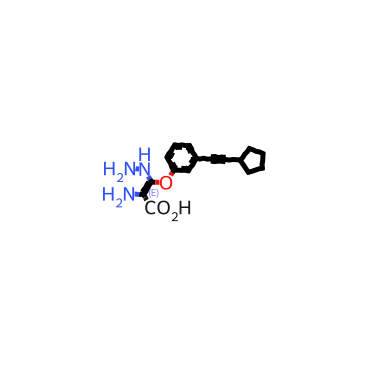 NN/C(Oc1cccc(C#CC2CCCC2)c1)=C(\N)C(=O)O